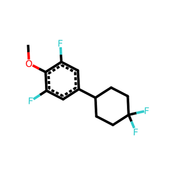 COc1c(F)cc(C2CCC(F)(F)CC2)cc1F